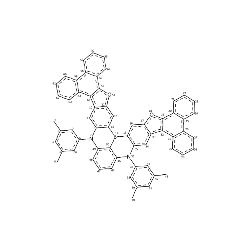 Cc1cc(C)cc(N2c3cc4c(cc3B3c5cc6oc7c8ccccc8c8ccccc8c7c6cc5N(c5cc(C)cc(C)c5)c5cccc2c53)oc2c3ccccc3c3ccccc3c42)c1